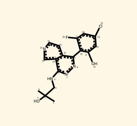 CC(C)(O)CNc1nnc(-c2c(O)cc(Cl)cc2F)c2ccncc12